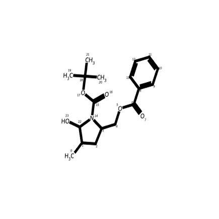 CC1CC(COC(=O)c2ccccc2)N(C(=O)OC(C)(C)C)C1O